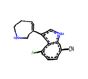 N#Cc1ccc(F)c2c(C3=CCCNC3)c[nH]c12